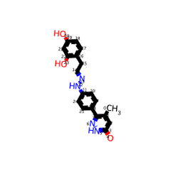 Cc1cc(=O)[nH]nc1-c1ccc(NN=CCc2ccc(O)cc2O)cc1